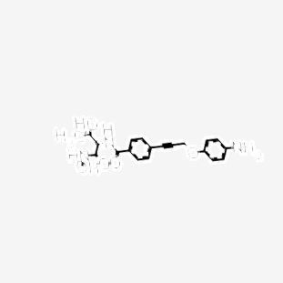 C[C@@H](O)[C@H](NC(=O)c1ccc(C#CCOc2ccc(N)cc2)cc1)C(=O)NO